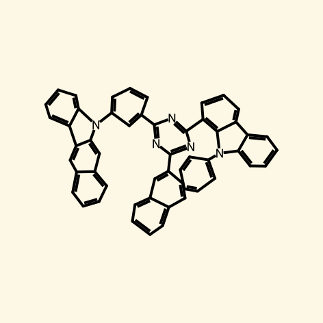 c1ccc(-n2c3ccccc3c3cccc(-c4nc(-c5cccc(-n6c7ccccc7c7cc8ccccc8cc76)c5)nc(-c5ccc6ccccc6c5)n4)c32)cc1